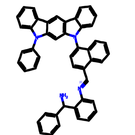 NC(c1ccccc1)c1ccccc1/N=C/c1ccc(-n2c3ccccc3c3cc4c5ccccc5n(-c5ccccc5)c4cc32)c2ccccc12